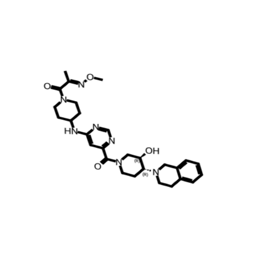 CON=C(C)C(=O)N1CCC(Nc2cc(C(=O)N3CC[C@@H](N4CCc5ccccc5C4)[C@H](O)C3)ncn2)CC1